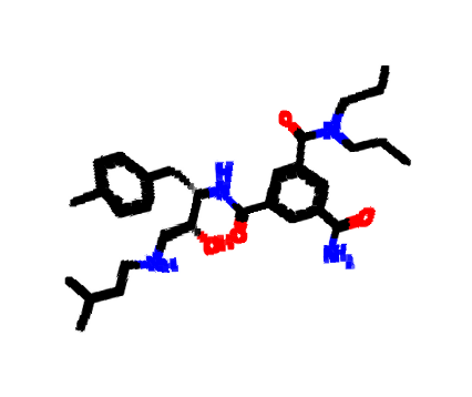 CCCN(CCC)C(=O)c1cc(C(N)=O)cc(C(=O)N[C@@H](Cc2ccc(C)cc2)[C@H](O)CNCCC(C)C)c1